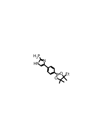 CCC1(C)OB(c2ccc(-c3c[nH]c(P)n3)cc2)OC1(C)C